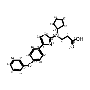 O=C(O)CCN(c1nc(-c2ccc(Oc3ccccc3)cc2)cs1)C1CCCC1